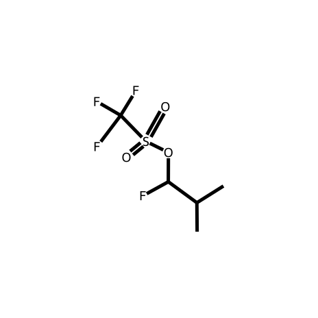 CC(C)C(F)OS(=O)(=O)C(F)(F)F